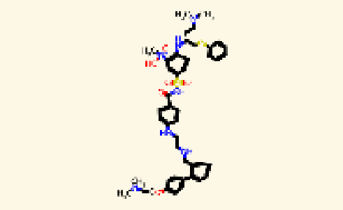 CN(C)CCOc1ccc(-c2ccccc2CNCCNc2ccc(C(=O)NS(=O)(=O)c3ccc(N[C@H](CCN(C)C)CSc4ccccc4)c([N+](C)([O-])O)c3)cc2)cc1